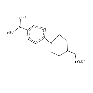 CCCCN(CCCC)c1ccc(N2CCC(CC(=O)OCC)CC2)cc1